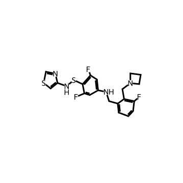 Fc1cccc(CNc2cc(F)c(SNc3cscn3)c(F)c2)c1CN1CCC1